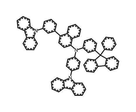 c1ccc(C2(c3cccc(N(c4ccc(-n5c6ccccc6c6ccccc65)cc4)c4ccc(-c5cccc(-n6c7ccccc7c7ccccc76)c5)c5ccccc45)c3)c3ccccc3-c3ccccc32)cc1